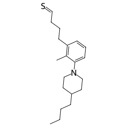 CCCCC1CCN(c2cccc(CCCC=S)c2C)CC1